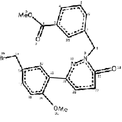 COC(=O)c1cccc(Cn2nc(-c3cc(CBr)ccc3OC)ccc2=O)c1